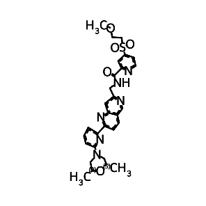 COCCS(=O)(=O)c1ccnc(C(=O)NCc2cc3nc(-c4cccc(N5C[C@@H](C)O[C@@H](C)C5)n4)ccc3cn2)c1